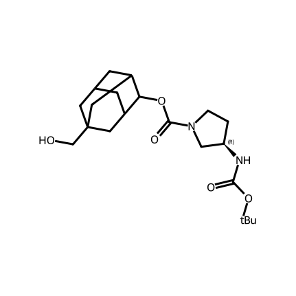 CC(C)(C)OC(=O)N[C@@H]1CCN(C(=O)OC2C3CC4CC2CC(CO)(C4)C3)C1